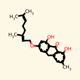 CC(C)=CCCC(C)=CCOc1cc(O)c2c(c1)Cc1cc(C)cc(O)c1C2=O